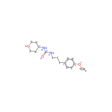 COc1ccc(CCCNC(=O)NC2CCOCC2)cc1